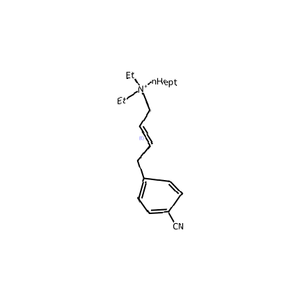 CCCCCCC[N+](CC)(CC)C/C=C/Cc1ccc(C#N)cc1